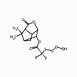 CC1(C)C2CC3C(OC(=O)C31)C2OC(=O)C(F)(F)SOOO